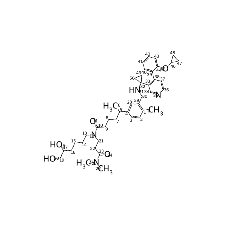 Cc1ccc(C(C)CCCC(=O)N(CCCCC(O)CO)CCC(=O)N(C)C)cc1CNC1(c2cnccc2-c2ccccc2OC2CC2)CC1